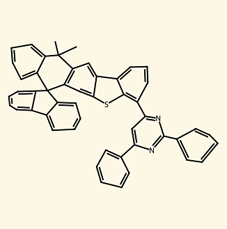 CC1(C)c2ccccc2C2(c3ccccc3-c3ccccc32)c2cc3sc4c(-c5cc(-c6ccccc6)nc(-c6ccccc6)n5)cccc4c3cc21